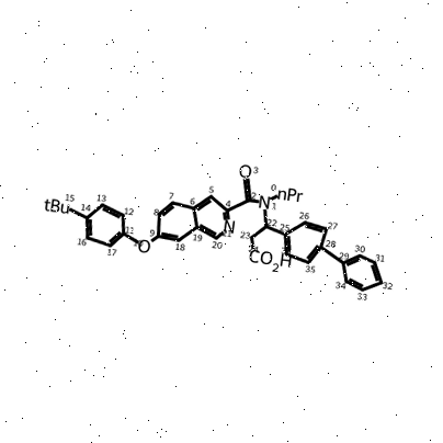 CCCN(C(=O)c1cc2ccc(Oc3ccc(C(C)(C)C)cc3)cc2cn1)C(CC(=O)O)c1ccc(-c2ccccc2)cc1